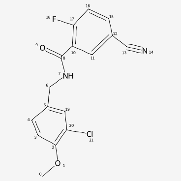 COc1ccc(CNC(=O)c2cc(C#N)ccc2F)cc1Cl